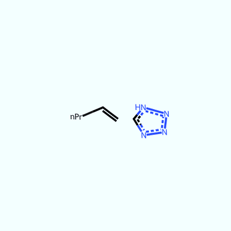 C=CCCC.c1nnn[nH]1